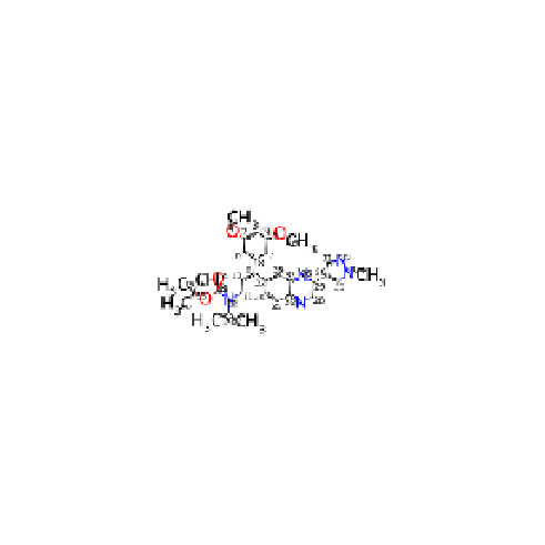 COc1cc(OC)cc(/C(=C/CN(C(=O)OC(C)(C)C)C(C)C)c2ccc3ncc(-c4cnn(C)c4)nc3c2)c1